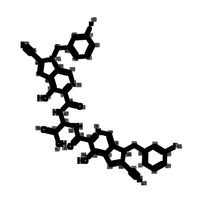 N#Cc1cc2c(O)c(C(=O)NC(NC(=O)c3ncc4c(cc(C#N)n4Cc4cccc(F)c4)c3O)C(=O)O)ncc2n1Cc1cccc(F)c1